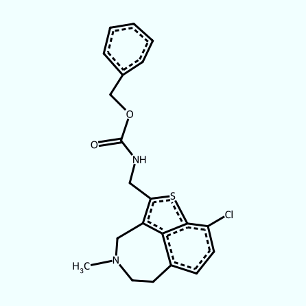 CN1CCc2ccc(Cl)c3sc(CNC(=O)OCc4ccccc4)c(c23)C1